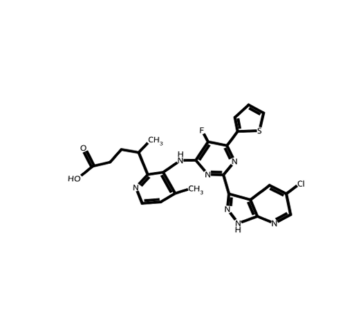 Cc1ccnc(C(C)CCC(=O)O)c1Nc1nc(-c2n[nH]c3ncc(Cl)cc23)nc(-c2cccs2)c1F